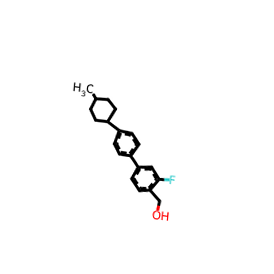 CC1CCC(c2ccc(-c3ccc(CO)c(F)c3)cc2)CC1